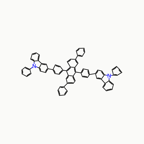 c1ccc(-c2ccc3c(-c4ccc(-c5ccc6c(c5)c5ccccc5n6-c5ccccc5)cc4)c4cc(-c5ccccc5)ccc4c(-c4ccc(-c5ccc6c(c5)c5ccccc5n6-c5ccccc5)cc4)c3c2)cc1